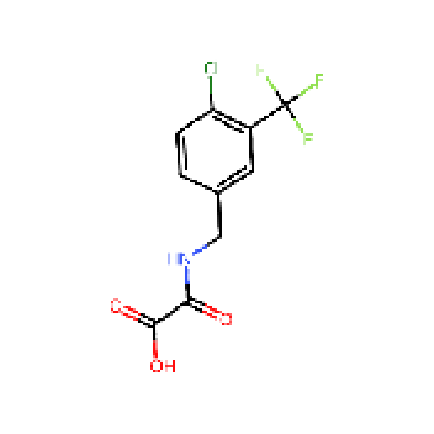 O=C(O)C(=O)NCc1ccc(Cl)c(C(F)(F)F)c1